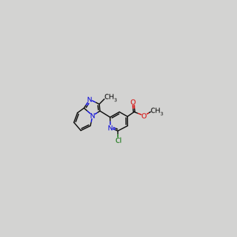 COC(=O)c1cc(Cl)nc(-c2c(C)nc3ccccn23)c1